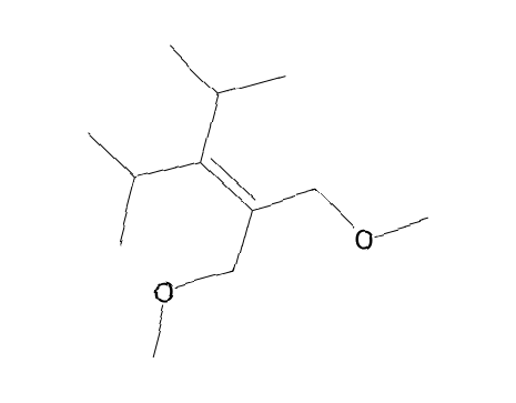 COCC(COC)=C(C(C)C)C(C)C